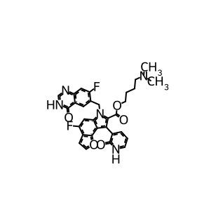 CN(C)CCCCOC(=O)c1c(-c2ccc[nH]c2=O)c2c3occc3c(F)cc2n1Cc1cc2c(=O)[nH]cnc2cc1F